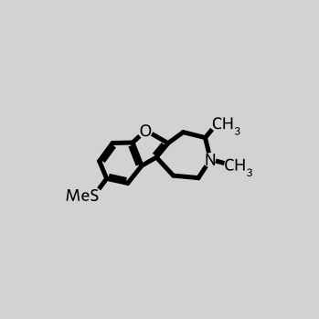 CSc1ccc2oc3c(c2c1)CCN(C)C(C)C3